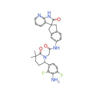 CC1(C)CCC(c2ccc(F)c(N)c2F)N(CC(=O)Nc2ccc3c(c2)CC2(C3)C(=O)Nc3ncccc32)C1=O